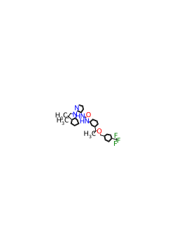 CC(OCc1ccc(C(F)(F)F)cc1)c1cccc(NC(=O)Nc2cccnc2N2CC(C)(C)c3ccccc32)c1